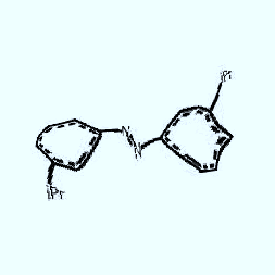 CC(C)c1cccc(N=Nc2cccc(C(C)C)c2)c1